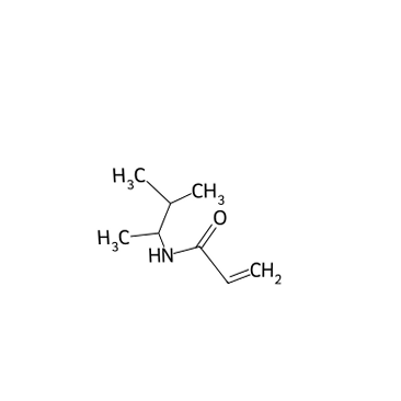 C=CC(=O)NC(C)C(C)C